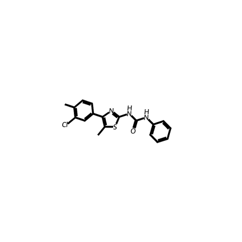 Cc1ccc(-c2nc(NC(=O)Nc3ccccc3)sc2C)cc1Cl